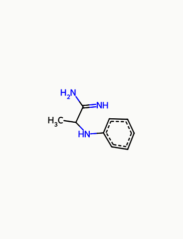 CC(Nc1ccccc1)C(=N)N